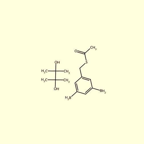 Bc1cc(B)cc(CSC(C)=O)c1.CC(C)(O)C(C)(C)O